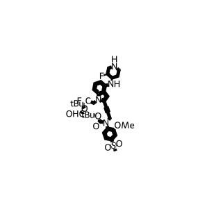 CC(C)(C)OC=O.COc1cc(S(C)(=O)=O)ccc1N(CC#Cc1cc2c(N[C@@H]3CCNC[C@@H]3F)cccc2n1CC(F)(F)F)C(=O)OC(C)(C)C